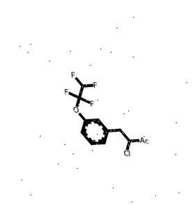 CC(=O)C(Cl)Cc1cccc(OC(F)(F)C(F)F)c1